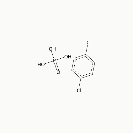 Clc1ccc(Cl)cc1.O=P(O)(O)O